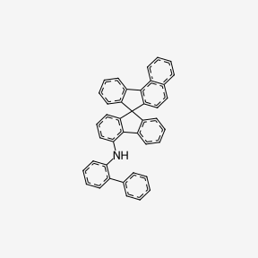 c1ccc(-c2ccccc2Nc2cccc3c2-c2ccccc2C32c3ccccc3-c3c2ccc2ccccc32)cc1